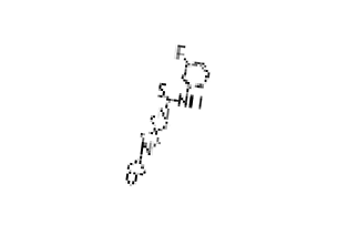 Fc1cccc(NC(=S)N2CC3(C2)CN(C2COC2)C3)c1